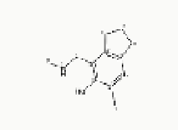 CNCc1c(O)c(I)cc2c1CCC2